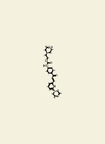 O=C(Nc1ccc(C(=O)C=Cc2cccc(N3CCOCC3)n2)cc1)OCCN1CCNCC1